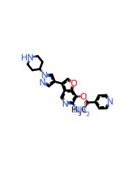 C[C@@H](Oc1c(N)ncc2c(-c3cnn(C4CCNCC4)c3)coc12)c1ccncc1